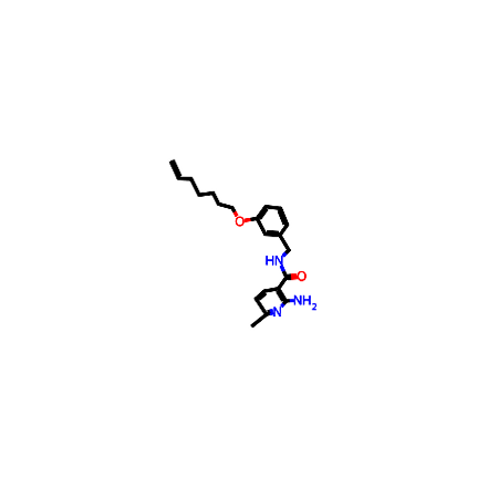 C=CCCCCCOc1cccc(CNC(=O)c2ccc(C)nc2N)c1